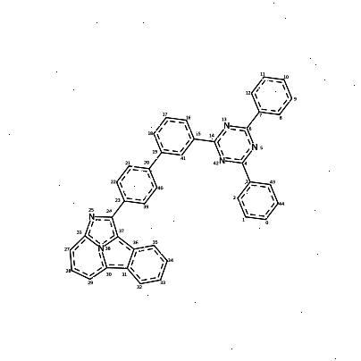 c1ccc(-c2nc(-c3ccccc3)nc(-c3cccc(-c4ccc(-c5nc6cccc7c8ccccc8c5n67)cc4)c3)n2)cc1